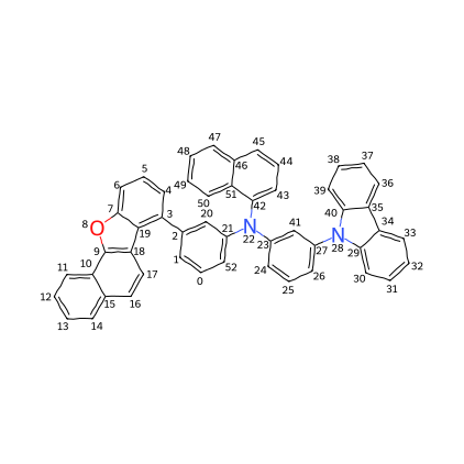 c1cc(-c2cccc3oc4c5ccccc5ccc4c23)cc(N(c2cccc(-n3c4ccccc4c4ccccc43)c2)c2cccc3ccccc23)c1